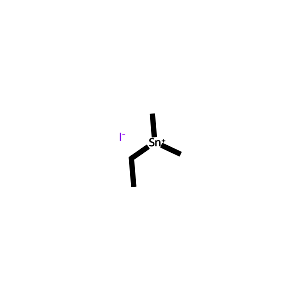 C[CH2][Sn+]([CH3])[CH3].[I-]